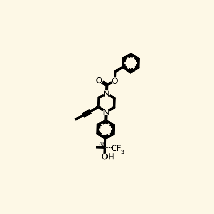 CC#CC1CN(C(=O)OCc2ccccc2)CCN1c1ccc([C@](C)(O)C(F)(F)F)cc1